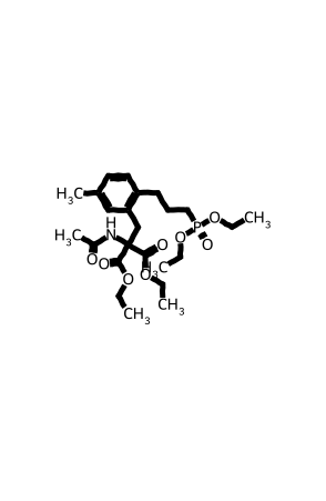 CCOC(=O)C(Cc1cc(C)ccc1CCCP(=O)(OCC)OCC)(NC(C)=O)C(=O)OCC